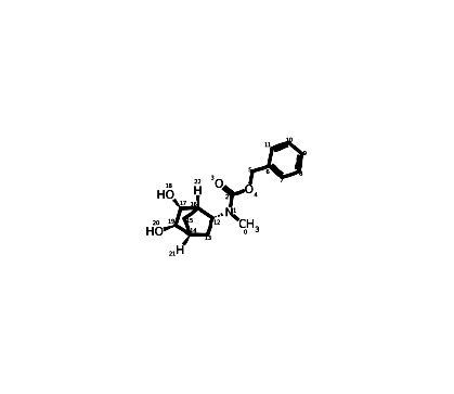 CN(C(=O)OCc1ccccc1)[C@@H]1C[C@H]2C[C@@H]1[C@H](O)[C@@H]2O